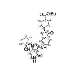 CC(C)COC(=O)C1CCC(N2Cc3cc(Nc4nn([C@H]5CCCC[C@@H]5C#N)c5cc[nH]c(=O)c45)ccc3C2=O)CC1